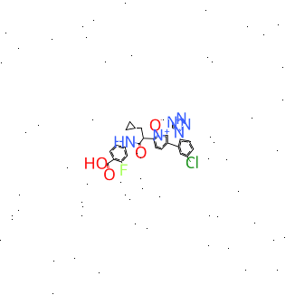 CO[n+]1cc(-c2cc(Cl)ccc2-n2cnnn2)ccc1C(CC1CC1)C(=O)Nc1ccc(C(=O)O)c(F)c1